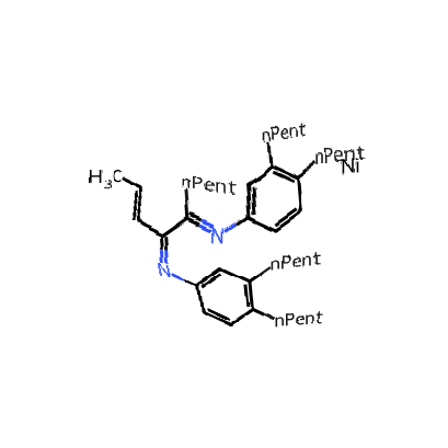 CC=CC(=Nc1ccc(CCCCC)c(CCCCC)c1)C(CCCCC)=Nc1ccc(CCCCC)c(CCCCC)c1.[Ni]